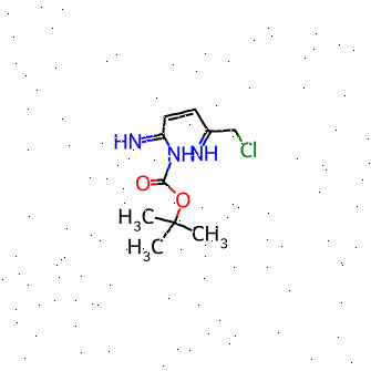 CC(C)(C)OC(=O)NC(=N)/C=C\C(=N)CCl